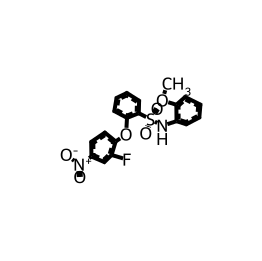 COc1ccccc1NS(=O)(=O)c1ccccc1Oc1ccc([N+](=O)[O-])cc1F